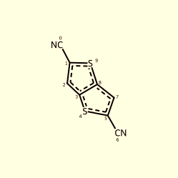 N#Cc1cc2sc(C#N)cc2s1